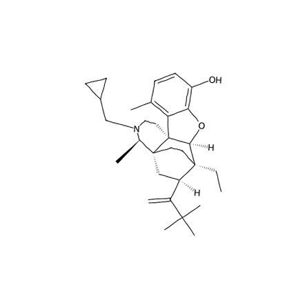 C=C([C@H]1C[C@@]23CC[C@@]1(CC)[C@@H]1Oc4c(O)ccc(C)c4[C@@]12CCN(CC1CC1)[C@@H]3C)C(C)(C)C